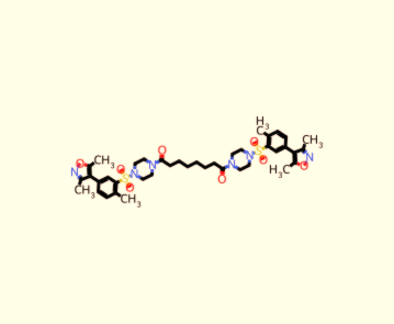 Cc1ccc(-c2c(C)noc2C)cc1S(=O)(=O)N1CCN(C(=O)CCCCCCC(=O)N2CCN(S(=O)(=O)c3cc(-c4c(C)noc4C)ccc3C)CC2)CC1